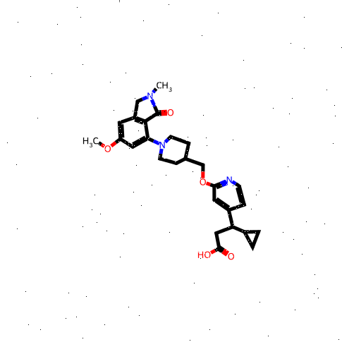 COc1cc2c(c(N3CCC(COc4cc(C(CC(=O)O)C5CC5)ccn4)CC3)c1)C(=O)N(C)C2